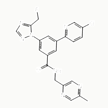 Cc1cnc(CNC(=O)c2cc(-c3ccc(Cl)cn3)cc(-n3ncnc3CF)c2)cn1